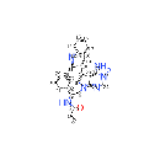 C=CC(=O)NC1Cn2c(c(-c3cnc4ccccc4c3)c3c(N)ncnc32)-c2ccccc21